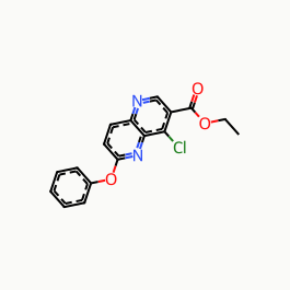 CCOC(=O)c1cnc2ccc(Oc3ccccc3)nc2c1Cl